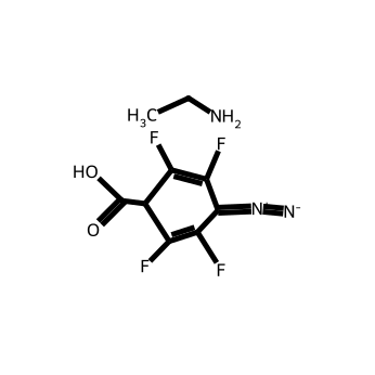 CCN.[N-]=[N+]=C1C(F)=C(F)C(C(=O)O)C(F)=C1F